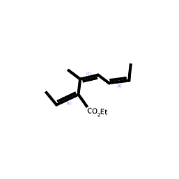 C\C=C/C=C(C)\C(=C/C)C(=O)OCC